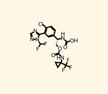 O=C(O)N[C@H](COC(=O)NC1(C(F)(F)F)CC1)c1ccc(Cl)c(-c2ncnn2C(F)F)c1